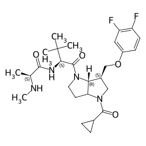 CN[C@@H](C)C(=O)N[C@H](C(=O)N1CCC2[C@H]1[C@@H](COc1ccc(F)c(F)c1)CN2C(=O)C1CC1)C(C)(C)C